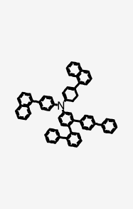 C1=C(c2cccc3ccccc23)CCC(N(c2ccc(-c3cccc4ccccc34)cc2)c2ccc(-c3ccccc3-c3ccccc3)c(-c3ccc(-c4ccccc4)cc3)c2)=C1